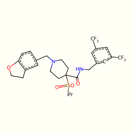 CC(C)S(=O)(=O)C1(C(=O)NCc2cc(C(F)(F)F)cc(C(F)(F)F)c2)CCN(Cc2ccc3c(c2)CCO3)CC1